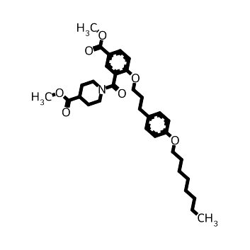 CCCCCCCCOc1ccc(CCCOc2ccc(C(=O)OC)cc2C(=O)N2CCC(C(=O)OC)CC2)cc1